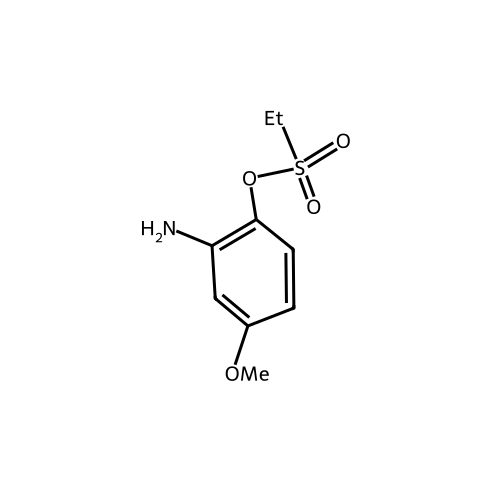 CCS(=O)(=O)Oc1ccc(OC)cc1N